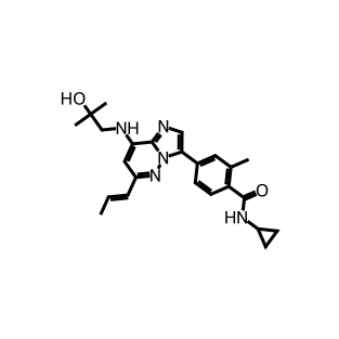 CC=Cc1cc(NCC(C)(C)O)c2ncc(-c3ccc(C(=O)NC4CC4)c(C)c3)n2n1